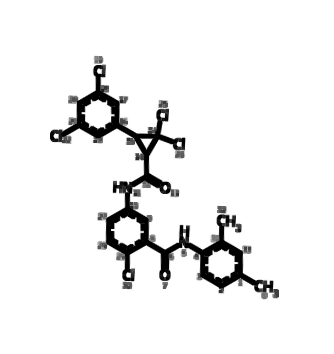 Cc1ccc(NC(=O)c2cc(NC(=O)C3C(c4cc(Cl)cc(Cl)c4)C3(Cl)Cl)ccc2Cl)c(C)c1